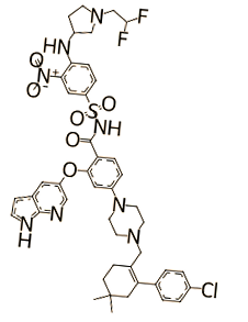 CC1(C)CCC(CN2CCN(c3ccc(C(=O)NS(=O)(=O)c4ccc(NC5CCN(CC(F)F)C5)c([N+](=O)[O-])c4)c(Oc4cnc5[nH]ccc5c4)c3)CC2)=C(c2ccc(Cl)cc2)C1